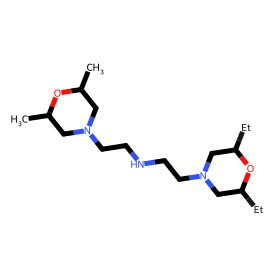 CCC1CN(CCNCCN2CC(C)OC(C)C2)CC(CC)O1